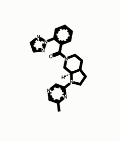 Cc1cncc(N2CCC3CCN(C(=O)c4ccccc4-n4nccn4)C[C@@H]32)n1